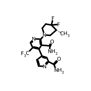 C[C@@H]1CN(c2ncc(C(F)(F)F)c(-c3ccnc(C(N)=O)c3)c2C(N)=O)CCC1(F)F